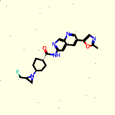 Cc1ncc(-c2cnc3cnc(NC(=O)[C@H]4CC[C@H](N5CC5CF)CC4)cc3c2)o1